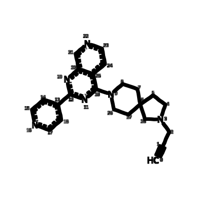 C#CCN1CCC2(CCN(c3nc(-c4ccncc4)nc4cnccc34)CC2)C1